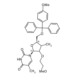 COCCOC1C(C)[C@H](COC(c2ccccc2)(c2ccccc2)c2ccc(OC)cc2)O[C@@H]1n1cc(C)c(=O)[nH]c1=O